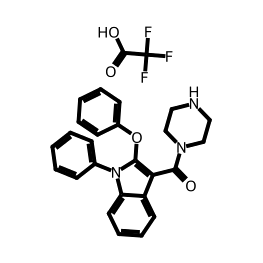 O=C(O)C(F)(F)F.O=C(c1c(Oc2ccccc2)n(-c2ccccc2)c2ccccc12)N1CCNCC1